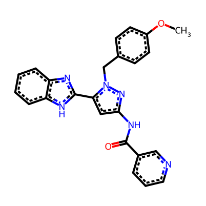 COc1ccc(Cn2nc(NC(=O)c3cccnc3)cc2-c2nc3ccccc3[nH]2)cc1